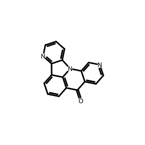 O=c1c2ccncc2n2c3cccnc3c3cccc1c32